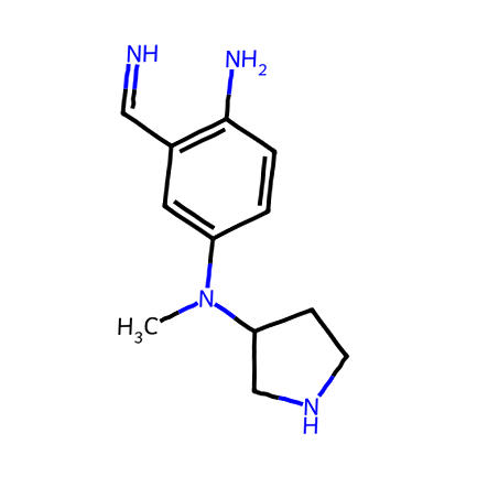 CN(c1ccc(N)c(C=N)c1)C1CCNC1